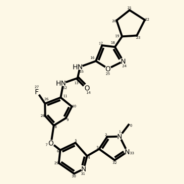 Cn1cc(-c2cc(Oc3ccc(NC(=O)Nc4cc(C5CCCC5)no4)c(F)c3)ccn2)cn1